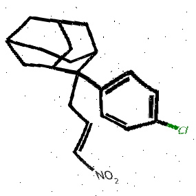 O=[N+]([O-])C=CCC1(c2ccc(Cl)cc2)C2CC3CC(C2)CC1C3